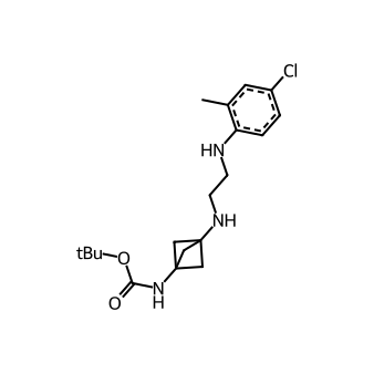 Cc1cc(Cl)ccc1NCCNC12CC(NC(=O)OC(C)(C)C)(C1)C2